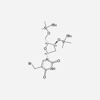 CC(C)(C)[Si](C)(C)OC[C@H]1O[C@@H](n2cc(CBr)c(=O)[nH]c2=O)C[C@@H]1O[Si](C)(C)C(C)(C)C